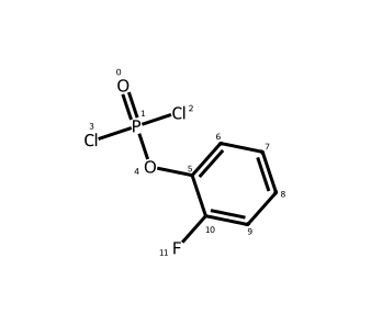 O=P(Cl)(Cl)Oc1ccccc1F